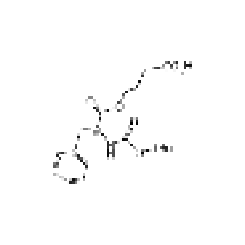 CC(C)(C)OC(=O)N[C@H](Cc1ccccc1)C(=O)OCCCC(=O)O